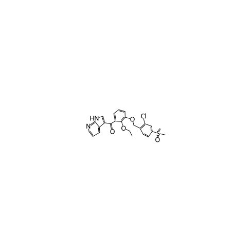 C=S(C)(=O)c1ccc(COc2cccc(C(=O)c3c[nH]c4ncccc34)c2OCC)c(Cl)c1